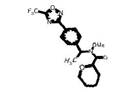 CON(C(=O)C1CCCCO1)C(C)c1ccc(-c2noc(C(F)(F)F)n2)cc1